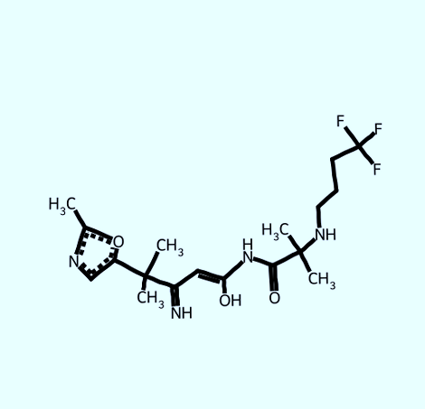 Cc1ncc(C(C)(C)C(=N)/C=C(\O)NC(=O)C(C)(C)NCCCC(F)(F)F)o1